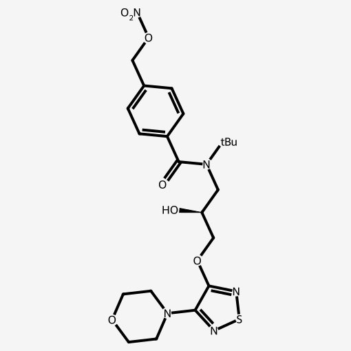 CC(C)(C)N(C[C@H](O)COc1nsnc1N1CCOCC1)C(=O)c1ccc(CO[N+](=O)[O-])cc1